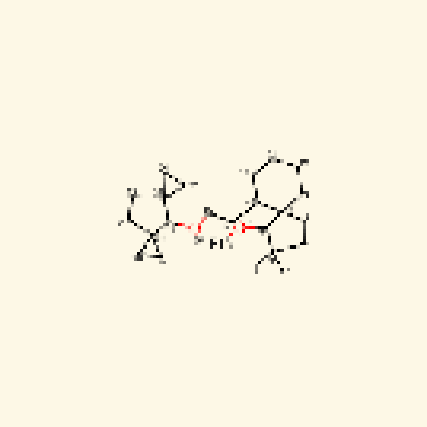 CCOC1C(C)(C)CCC12CCCCC2CCOC1C2(CC2)CCC12CC2